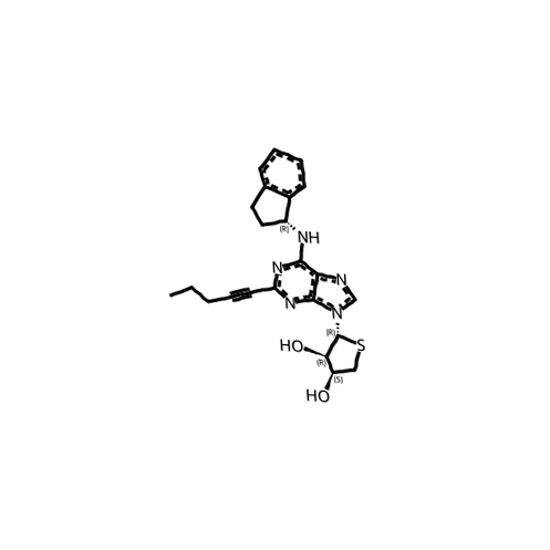 CCCC#Cc1nc(N[C@@H]2CCc3ccccc32)c2ncn([C@@H]3SC[C@@H](O)[C@H]3O)c2n1